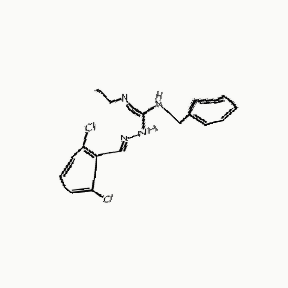 CCN=C(NCc1ccccc1)NN=Cc1c(Cl)cccc1Cl